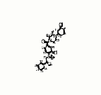 CC1C(C)N(c2cccc(Cl)c2)CCN1C(=O)c1ccc([S+]([O-])CC(=O)c2ccccc2)c(Cl)c1